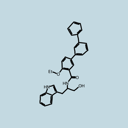 CCOc1ccc(-c2cccc(-c3ccccc3)c2)cc1C(=O)NC(CO)Cc1c[nH]c2ccccc12